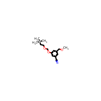 COCc1cc(C#N)cc(OCOCC[Si](C)(C)C)c1